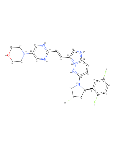 Fc1ccc(F)c([C@H]2C[C@H](F)CN2c2ccc3ncc(/C=C/c4ncc(N5CCOCC5)cn4)n3n2)c1